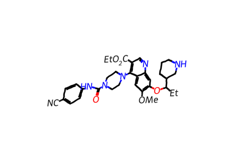 CCOC(=O)c1cnc2cc(OC(CC)C3CCCNC3)c(OC)cc2c1N1CCN(C(=O)Nc2ccc(C#N)cc2)CC1